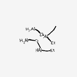 C[CH2][AlH][O][AlH2].C[CH2][Al]([CH3])[O][AlH2]